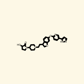 O=C1C(O)CCN1C1CCN(CCC2COc3cc(Oc4ccc(-c5ccn[nH]5)cn4)ccc32)CC1